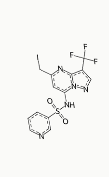 O=S(=O)(Nc1cc(CI)nc2c(C(F)(F)F)cnn12)c1cccnc1